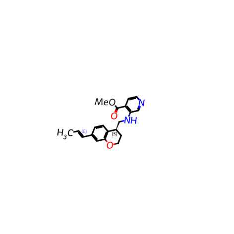 C/C=C/c1ccc2c(c1)OCC[C@@H]2CNc1cnccc1C(=O)OC